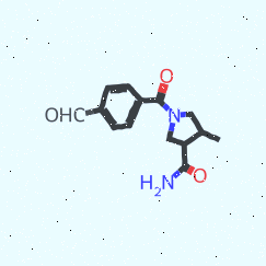 CC1CN(C(=O)c2ccc(C=O)cc2)CC1C(N)=O